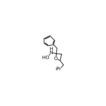 CC(C)CC1CC(Cc2ccccc2)(NO)O1